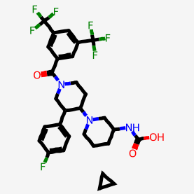 C1CC1.O=C(O)NC1CCCN(C2CCN(C(=O)c3cc(C(F)(F)F)cc(C(F)(F)F)c3)CC2c2ccc(F)cc2)C1